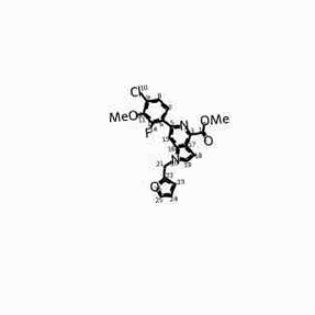 COC(=O)c1nc(-c2ccc(Cl)c(OC)c2F)cc2c1ccn2Cc1ccco1